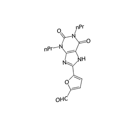 CCCn1c(=O)c2[nH]c(-c3ccc(C=O)o3)nc2n(CCC)c1=O